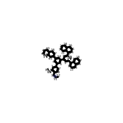 C=Nc1cc(-c2cc(-c3cc(-c4cccc5ccccc45)nc(-c4cccc5ccccc45)c3)cc(-c3ccc4cccnc4c3)c2)ccc1/C=C\C